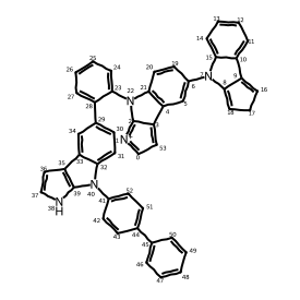 C1=[N+]=c2c(c3cc(-n4c5c(c6ccccc64)=CCC=5)ccc3n2-c2ccccc2-c2ccc3c(c2)c2cc[nH]c2n3-c2ccc(-c3ccccc3)cc2)=C1